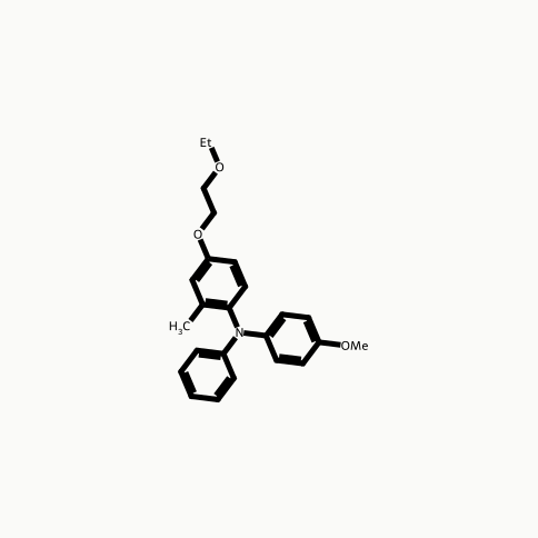 CCOCCOc1ccc(N(c2ccccc2)c2ccc(OC)cc2)c(C)c1